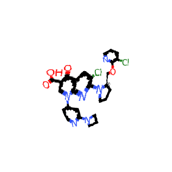 O=C(O)c1cn(-c2ccnc(N3CCC3)c2)c2nc(N3CCC[C@@H]3COc3ncccc3Cl)c(Cl)cc2c1=O